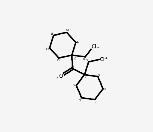 O=C(C1(CCl)CCCCC1)C1(CCl)CCCCC1